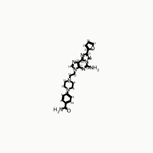 NC(=O)c1ccc(N2CCN(CCn3cnc4c3nc(N)n3nc(-c5ccco5)nc43)CC2)cc1